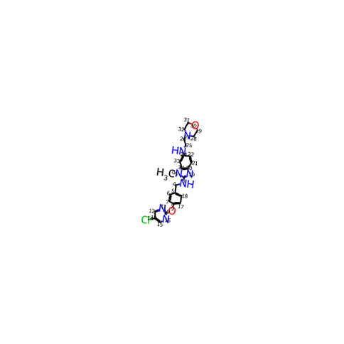 Cn1c(NCc2ccc(Oc3ncc(Cl)cn3)cc2)nc2ccc(NCCN3CCOCC3)cc21